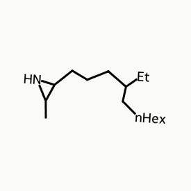 CCCCCCCC(CC)CCCC1NC1C